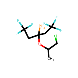 CC(CCl)OC(P)(CC(F)(F)F)CC(F)(F)F